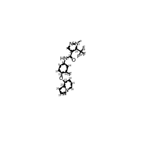 Cn1ncc(C(=O)Nc2ccc(Oc3cccn4nccc34)c(F)c2)c1C(F)(F)F